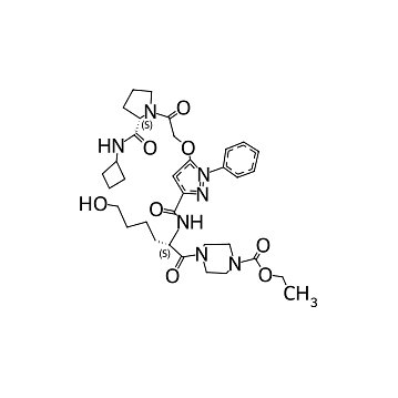 CCOC(=O)N1CCN(C(=O)[C@H](CCCCO)NC(=O)c2cc(OCC(=O)N3CCC[C@H]3C(=O)NC3CCC3)n(-c3ccccc3)n2)CC1